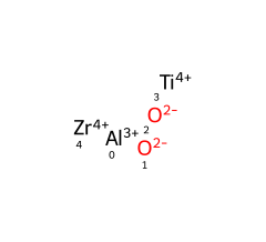 [Al+3].[O-2].[O-2].[Ti+4].[Zr+4]